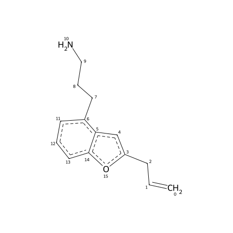 C=CCc1cc2c(CCCN)cccc2o1